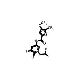 O=C(Nc1cc(F)c(=O)n(CC(F)F)c1)c1cc(OC(F)(F)F)c(C(F)(F)F)s1